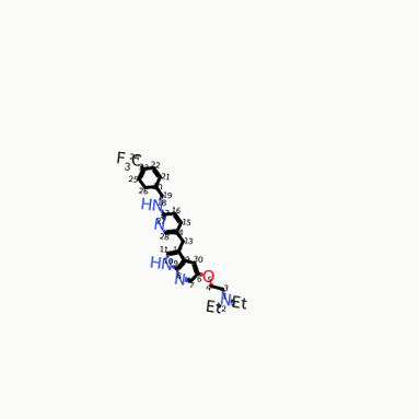 CCN(CC)CCOc1cnc2[nH]cc(Cc3ccc(NCC4C=CC(C(F)(F)F)=CC4)nc3)c2c1